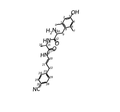 Cc1cc(O)cc(C)c1C[C@H](N)C(=O)N[C@H](C)C(=O)NC=CCc1ccc(C#N)cc1